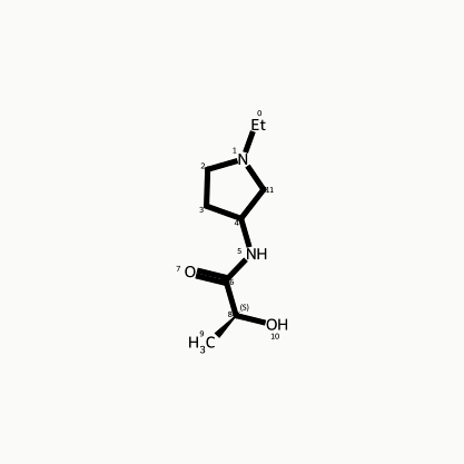 CCN1CCC(NC(=O)[C@H](C)O)C1